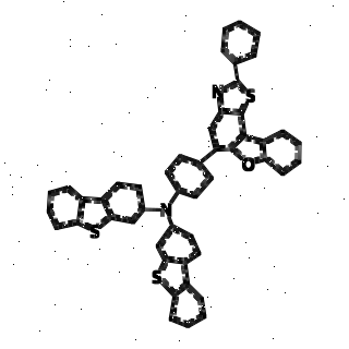 c1ccc(-c2nc3cc(-c4ccc(N(c5ccc6c(c5)sc5ccccc56)c5ccc6c(c5)sc5ccccc56)cc4)c4oc5ccccc5c4c3s2)cc1